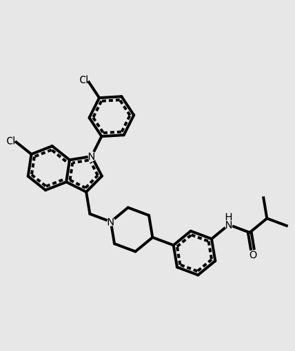 CC(C)C(=O)Nc1cccc(C2CCN(Cc3cn(-c4cccc(Cl)c4)c4cc(Cl)ccc34)CC2)c1